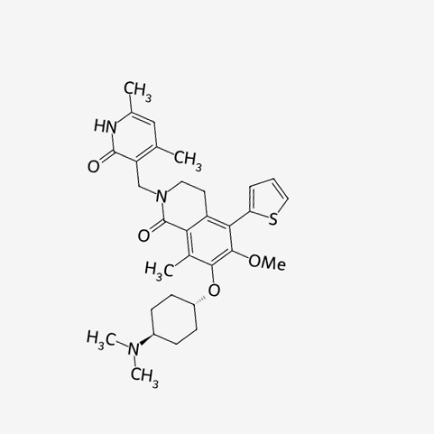 COc1c(O[C@H]2CC[C@H](N(C)C)CC2)c(C)c2c(c1-c1cccs1)CCN(Cc1c(C)cc(C)[nH]c1=O)C2=O